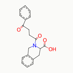 O=C(CCC(=O)N1Cc2ccccc2CC1C(=O)O)c1ccccc1